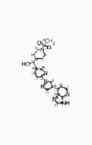 CS(=O)(=O)N1CCC(C(O)c2ccc(-n3cc(-c4ccnc5[nH]cnc45)cn3)nc2)CC1